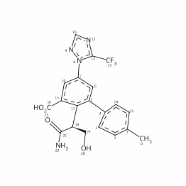 Cc1ccc(-c2cc(-n3ncnc3C(F)(F)F)cc(C(=O)O)c2[C@@H](CO)C(N)=O)cc1